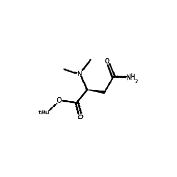 CN(C)[C@@H](CC(N)=O)C(=O)OC(C)(C)C